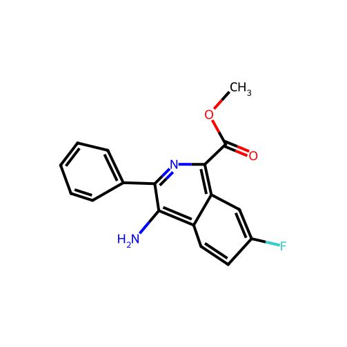 COC(=O)c1nc(-c2ccccc2)c(N)c2ccc(F)cc12